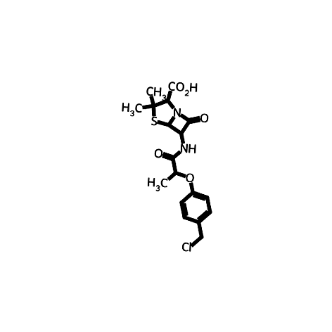 CC(Oc1ccc(CCl)cc1)C(=O)NC1C(=O)N2C1SC(C)(C)C2C(=O)O